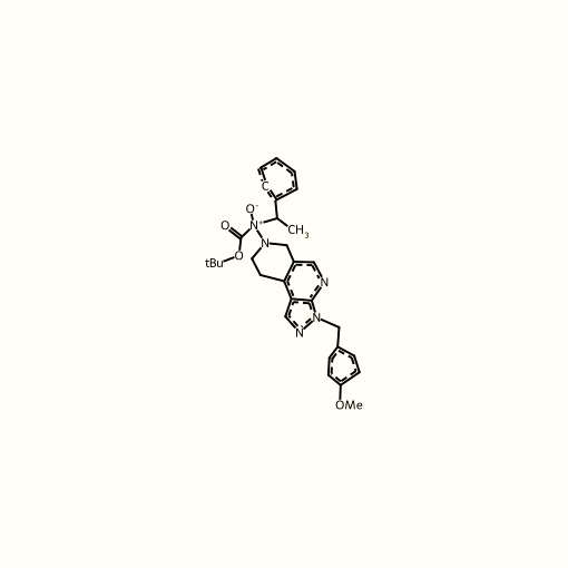 COc1ccc(Cn2ncc3c4c(cnc32)CN([N+]([O-])(C(=O)OC(C)(C)C)C(C)c2ccccc2)CC4)cc1